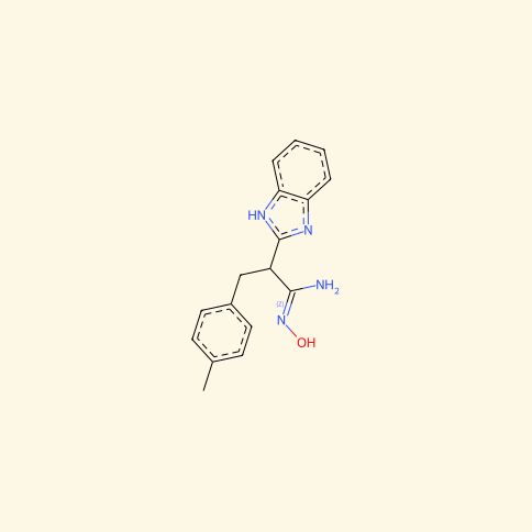 Cc1ccc(CC(/C(N)=N/O)c2nc3ccccc3[nH]2)cc1